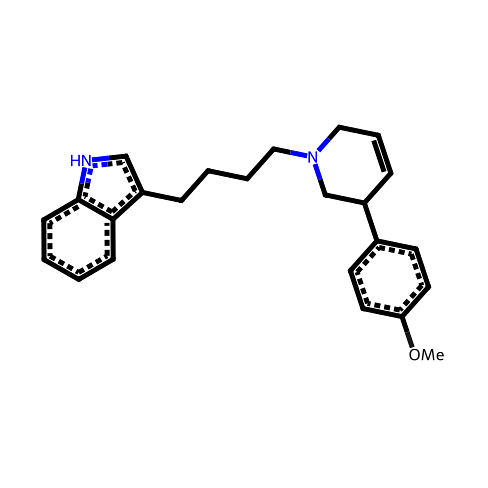 COc1ccc(C2C=CCN(CCCCc3c[nH]c4ccccc34)C2)cc1